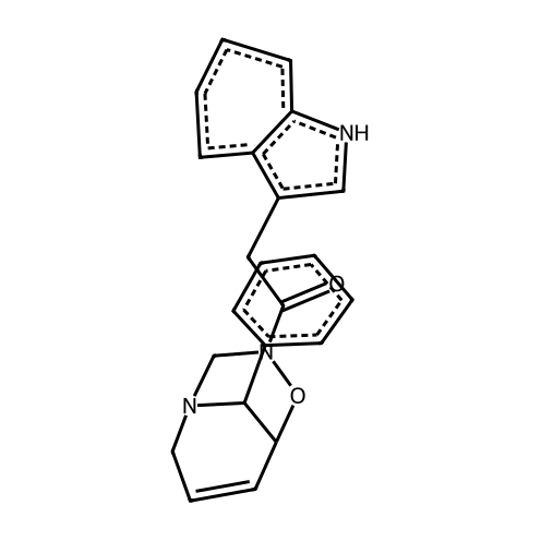 O=C(Cc1c[nH]c2ccccc12)N1CN2CC=CC(O1)C2c1ccccc1